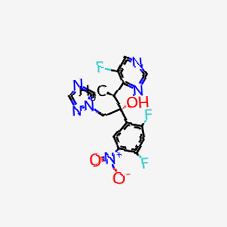 C[C@@H](c1ncncc1F)[C@](O)(Cn1cncn1)c1cc([N+](=O)[O-])c(F)cc1F